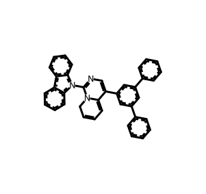 C1=CCN2C(=C1)C(c1cc(-c3ccccc3)cc(-c3ccccc3)c1)=CN=C2n1c2ccccc2c2ccccc21